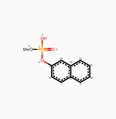 COP(=O)(O)Oc1ccc2ccccc2c1